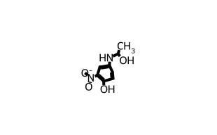 CC(O)Nc1ccc(O)c([N+](=O)[O-])c1